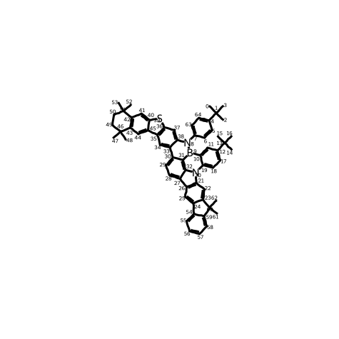 CC(C)(C)c1ccc(N2B3c4cc(C(C)(C)C)ccc4-n4c5cc6c(cc5c5ccc(c3c54)-c3cc4c(cc32)sc2cc3c(cc24)C(C)(C)CCC3(C)C)-c2ccccc2C6(C)C)cc1